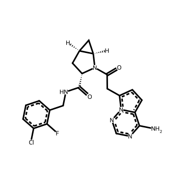 Nc1ncnn2c(CC(=O)N3[C@@H]4C[C@@H]4C[C@H]3C(=O)NCc3cccc(Cl)c3F)ccc12